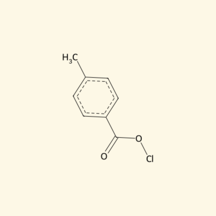 Cc1ccc(C(=O)OCl)cc1